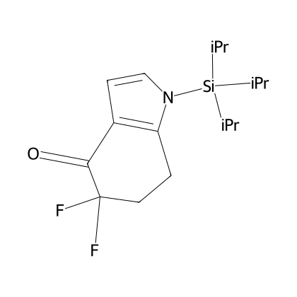 CC(C)[Si](C(C)C)(C(C)C)n1ccc2c1CCC(F)(F)C2=O